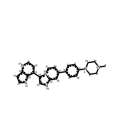 CN1CCN(c2ccc(-c3ccn4c(-c5ccnc6ccsc56)cnc4c3)cc2)CC1